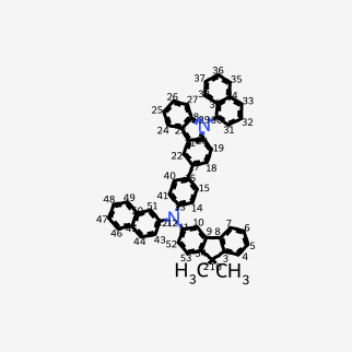 CC1(C)c2ccccc2-c2cc(N(c3ccc(-c4ccc5c(c4)c4ccccc4n5-c4cccc5ccccc45)cc3)c3ccc4ccccc4c3)ccc21